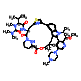 CCn1c(-c2cc(N3CCN(C)CC3)cnc2[C@H](C)OC)c2c3cc(ccc31)-c1csc(n1)C[C@H](NC(=O)[C@H](C(C)C)N(C)C(=O)N(C)C)C(=O)N1CCC[C@H](N1)C(=O)OCC(C)(C)C2